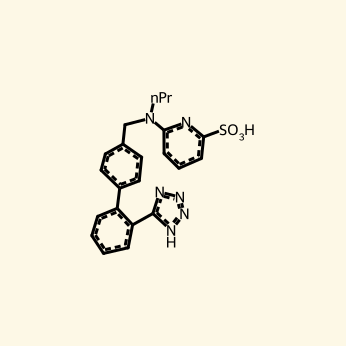 CCCN(Cc1ccc(-c2ccccc2-c2nnn[nH]2)cc1)c1cccc(S(=O)(=O)O)n1